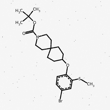 CSc1cc(Br)ccc1OC1CCC2(CC1)CCN(C(=O)OC(C)(C)C)CC2